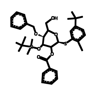 Cc1ccc(C(C)(C)C)cc1S[C@@H]1OC(CO)[C@@H](OCc2ccccc2)C(O[Si](C)(C)C(C)(C)C)C1OC(=O)c1ccccc1